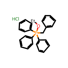 CCOP(Cc1ccccc1)(c1ccccc1)(c1ccccc1)c1ccccc1.Cl